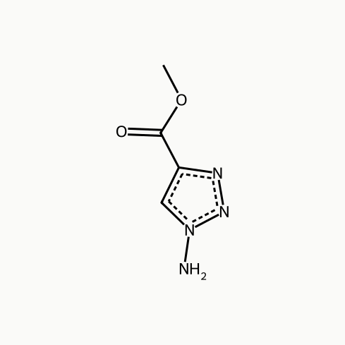 COC(=O)c1cn(N)nn1